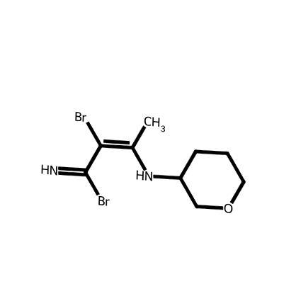 C/C(NC1CCCOC1)=C(\Br)C(=N)Br